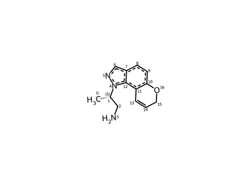 C[C@@H](CN)n1ncc2ccc3c(c21)C=CCO3